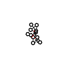 c1ccc(-c2ccccc2-n2c3ccccc3c3ccc(N(c4ccc5c(c4)C(c4ccccc4)(c4ccccc4-c4ccccc4)c4ccccc4-5)c4ccc5ccccc5c4)cc32)cc1